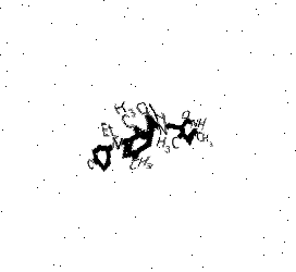 CCN(c1cc(C)cc(C(=O)NCc2c(C)cc(C)[nH]c2=O)c1C)C1CCC(=O)CC1